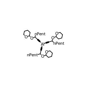 CCCCCC(C#[C][Al]([C]#CC(CCCCC)OC1CCCCO1)[C]#CC(CCCCC)OC1CCCCO1)OC1CCCCO1